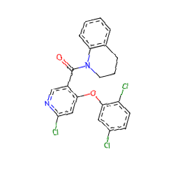 O=C(c1cnc(Cl)cc1Oc1cc(Cl)ccc1Cl)N1CCCc2ccccc21